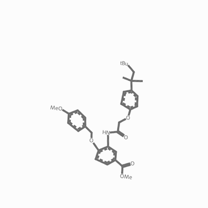 COC(=O)c1ccc(OCc2ccc(OC)cc2)c(NC(=O)COc2ccc(C(C)(C)CC(C)(C)C)cc2)c1